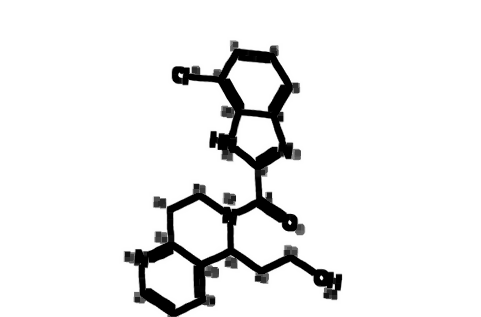 O=C(c1nc2cccc(Cl)c2[nH]1)N1CCc2ncccc2C1CCO